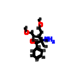 COCCC(CCOC)C(C)(N)C(=O)c1ccccc1